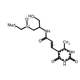 CSC[S+]([O-])CC(CO)NC(=O)/C=C/c1c(C)[nH]c(=O)[nH]c1=O